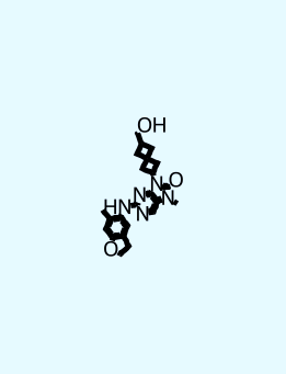 Cc1cc2c(cc1Nc1ncc3c(n1)n(C1CC4(CC(CO)C4)C1)c(=O)n3C)CCO2